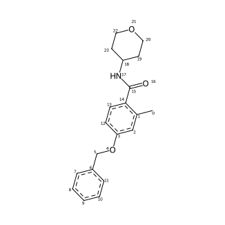 Cc1cc(OCc2ccccc2)ccc1C(=O)NC1CCOCC1